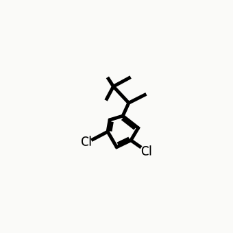 CC(c1cc(Cl)cc(Cl)c1)C(C)(C)C